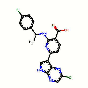 C[C@H](Nc1nc(-c2c[nH]c3ncc(Cl)nc23)ccc1C(=O)O)c1ccc(F)cc1